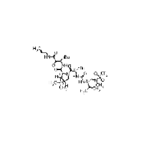 C=CCNC(=O)C(=O)C(CCCC)NC(=O)[C@@H]1[C@@H]2[C@H](CN1C(=O)[C@@H](NC(=O)N[C@H](CN(C)S(=O)(=O)C(F)(F)F)C(=C)C)C(C)(C)C)C2(C)C